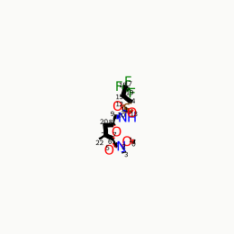 CON(C)C(=O)[C@@H]1O[C@H](CNS(=O)(=O)CCC(F)(F)F)C[C@@H]1C